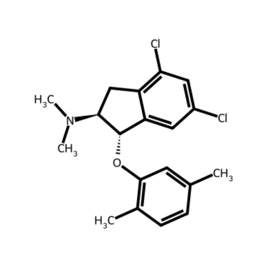 Cc1ccc(C)c(O[C@H]2c3cc(Cl)cc(Cl)c3C[C@@H]2N(C)C)c1